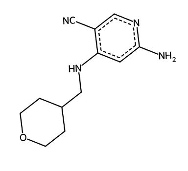 N#Cc1cnc(N)cc1NCC1CCOCC1